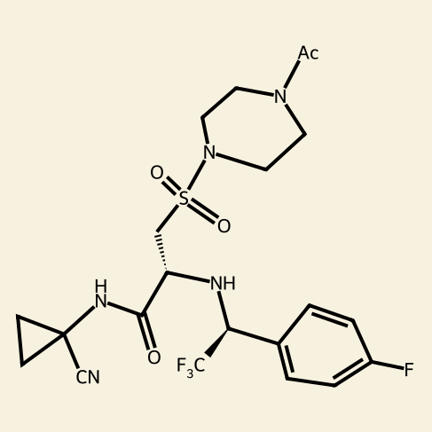 CC(=O)N1CCN(S(=O)(=O)C[C@H](N[C@@H](c2ccc(F)cc2)C(F)(F)F)C(=O)NC2(C#N)CC2)CC1